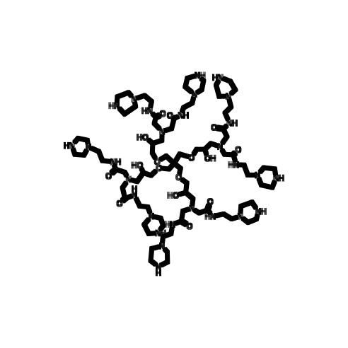 O=C(CN(CC(=O)NCCN1CCNCC1)CC(O)COCC(COCC(O)CN(CC(=O)NCCN1CCNCC1)CC(=O)NCCN1CCNCC1)(COCC(O)CN(CC(=O)NCCN1CCNCC1)CC(=O)NCCN1CCNCC1)COCC(O)CN(CC(=O)NCCN1CCNCC1)CC(=O)NCCN1CCNCC1)NCCN1CCNCC1